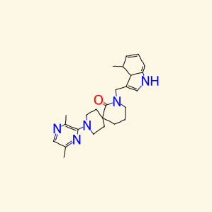 Cc1cnc(C)c(N2CCC3(CCCN(CC4=CNC5=CC=CC(C)C45)C3=O)CC2)n1